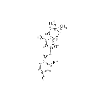 CC(OC(=O)COc1ccc(Cl)cc1F)P1(=O)OCC(C)(C)CO1